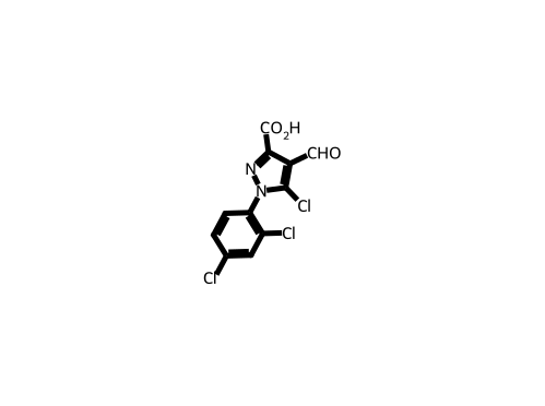 O=Cc1c(C(=O)O)nn(-c2ccc(Cl)cc2Cl)c1Cl